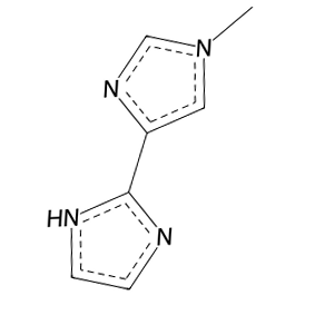 Cn1cnc(-c2ncc[nH]2)c1